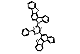 c1ccc(-c2nc(-c3cc4ccccc4c4c3oc3ccccc34)nc(-n3c4ccccc4c4c5sc6ccccc6c5ccc43)n2)cc1